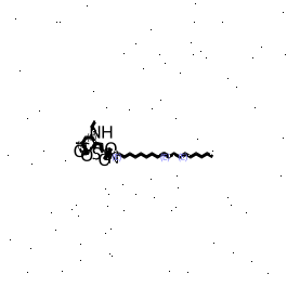 CCCCC/C=C/C/C=C/CCCCCCC/C=N/S(=O)(=O)c1cc2c(s1)S(=O)(=O)[C@@H](C)C[C@@H]2NCC